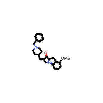 COc1cccc2c1cc1n2C/C(=C/C2CCN(Cc3ccccc3)CC2)C1=O